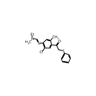 CCN(C)C=Nc1cc(C)c(C(=O)CSc2ccccc2)cc1Cl